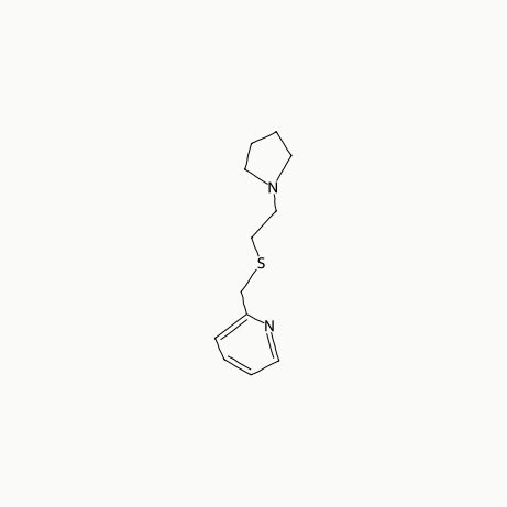 c1ccc(CSCCN2CCCC2)nc1